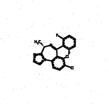 C[C@@H]1N=C(c2c(F)cccc2F)c2c(ccc(Cl)c2Cl)-n2ccnc21